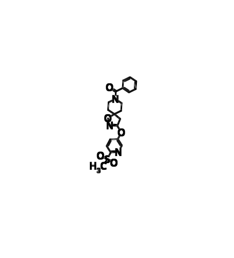 CS(=O)(=O)c1ccc(OC2=NOC3(CCN(C(=O)c4ccccc4)CC3)C2)cn1